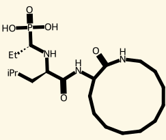 CC[C@@H](N[C@H](CC(C)C)C(=O)NC1CCCCCCCCCCNC1=O)P(=O)(O)O